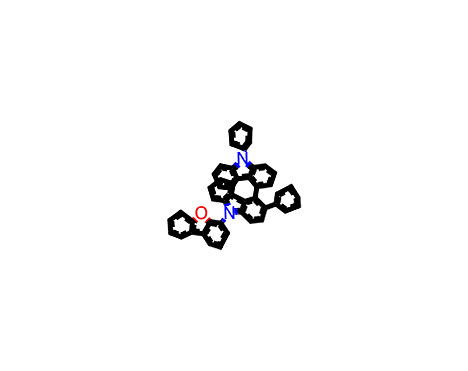 c1ccc(-c2ccc3c(c2-c2cccc4c2c2ccccc2n4-c2ccccc2)c2ccccc2n3-c2cccc3c2oc2ccccc23)cc1